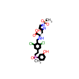 CP(=O)(CCc1cc(Cl)c(CN[C@@H](Cc2ccn(S(C)(=O)=O)n2)C(=O)O)c(Cl)c1)c1cccc(O)c1